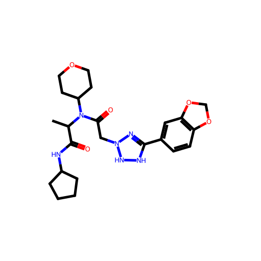 CC(C(=O)NC1CCCC1)N(C(=O)CN1N=C(c2ccc3c(c2)OCO3)NN1)C1CCOCC1